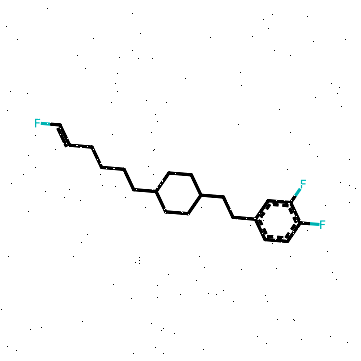 FC=CCCCCC1CCC(CCc2ccc(F)c(F)c2)CC1